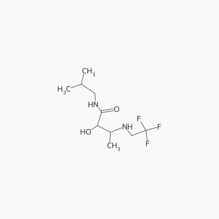 CC(C)CNC(=O)C(O)C(C)NCC(F)(F)F